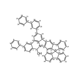 OC1c2ccc(-c3ccccc3)cc2-c2cc(-c3cccc(-c4ccccc4)c3)cc3c4cc5c(cc4n1c23)C1(c2ccccc2-c2ccccc21)c1ccccc1-5